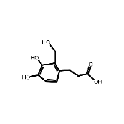 O=C(O)CCc1ccc(O)c(O)c1CO